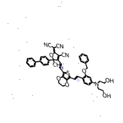 CC1(c2ccc(-c3ccccc3)cc2)OC(=C(C#N)C#N)C(C#N)=C1/C=C/c1sc(/C=C/c2ccc(N(CCO)CCO)cc2OCc2ccccc2)c2c1OCCO2